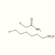 NC(=O)CF.O=S(=O)(O)CCCCCCF